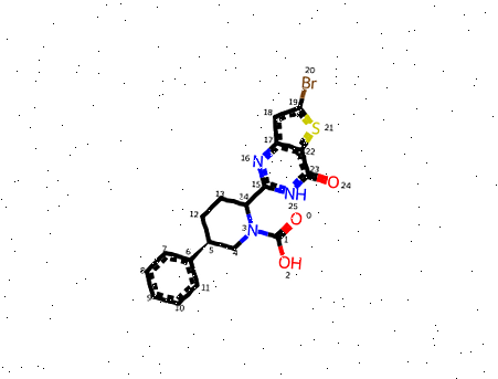 O=C(O)N1C[C@@H](c2ccccc2)CCC1c1nc2cc(Br)sc2c(=O)[nH]1